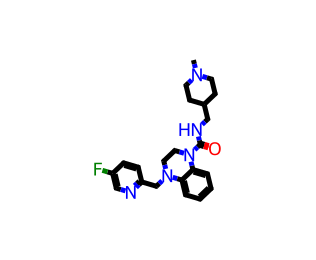 CN1CCC(CNC(=O)N2CCN(Cc3ccc(F)cn3)c3ccccc32)CC1